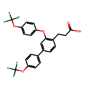 O=C(O)CCc1ccc(-c2ccc(OC(F)(F)F)cc2)cc1Oc1ccc(OC(F)(F)F)cc1